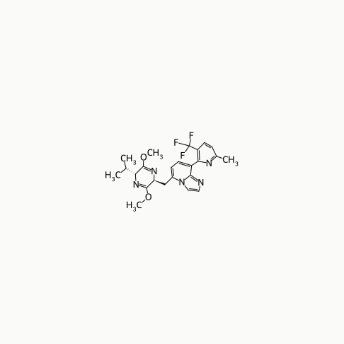 COC1=N[C@H](C(C)C)C(OC)=N[C@H]1Cc1ccc(-c2nc(C)ccc2C(F)(F)F)c2nccn12